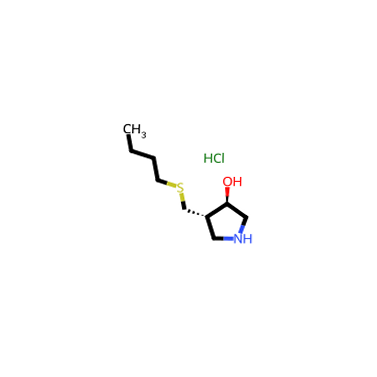 CCCCSC[C@H]1CNC[C@@H]1O.Cl